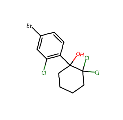 CCc1ccc(C2(O)CCCCC2(Cl)Cl)c(Cl)c1